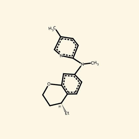 CC[C@@H]1CCOc2cc(N(C)c3ccc(C)cn3)ccc21